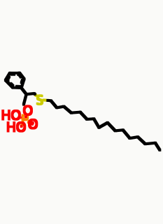 CCCCCCCCCCCCCCCCSCC(COP(=O)(O)O)c1ccccc1